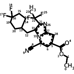 CCOC(=O)c1cc(C#N)n2c(CC3CCC(F)(F)CC3)c(C(C)(F)F)nc2c1